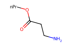 CCCOC(=O)CCN